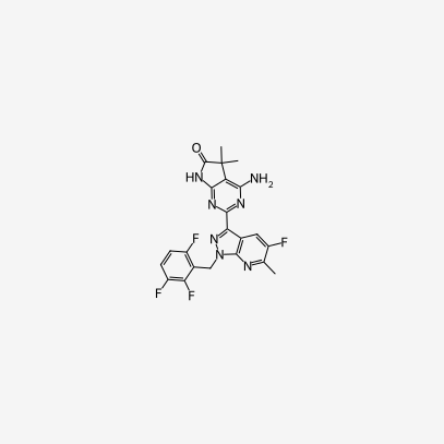 Cc1nc2c(cc1F)c(-c1nc(N)c3c(n1)NC(=O)C3(C)C)nn2Cc1c(F)ccc(F)c1F